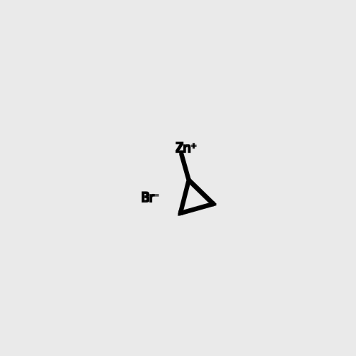 [Br-].[Zn+][CH]1CC1